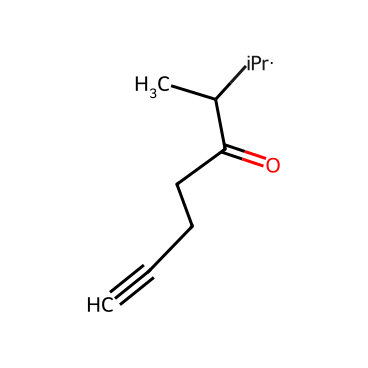 C#CCCC(=O)C(C)[C](C)C